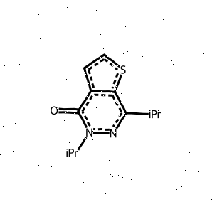 CC(C)c1nn(C(C)C)c(=O)c2ccsc12